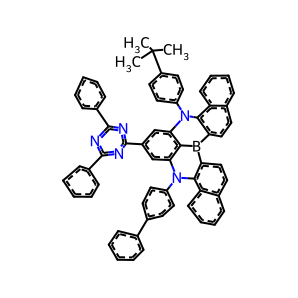 CC(C)(C)c1ccc(N2c3cc(-c4nc(-c5ccccc5)nc(-c5ccccc5)n4)cc4c3B(c3ccc5ccccc5c3N4c3ccc(-c4ccccc4)cc3)c3ccc4ccccc4c32)cc1